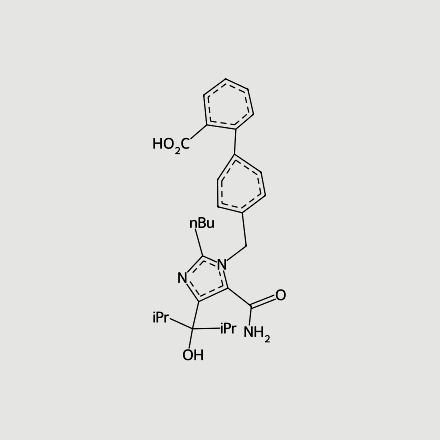 CCCCc1nc(C(O)(C(C)C)C(C)C)c(C(N)=O)n1Cc1ccc(-c2ccccc2C(=O)O)cc1